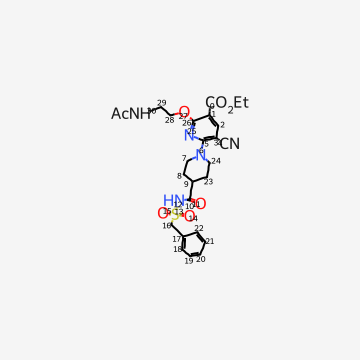 CCOC(=O)c1cc(C#N)c(N2CCC(C(=O)NS(=O)(=O)Cc3ccccc3)CC2)nc1OCCNC(C)=O